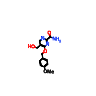 COc1ccc(COc2nc(C(N)=O)ncc2CO)cc1